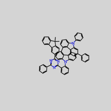 CC1(C)c2ccccc2-c2cc(-c3nc(-c4ccccc4)nc(-c4ccccc4-n4c5ccccc5c5c(-c6cccc7c6c6ccc(-c8ccccc8)cc6n7-c6ccccc6)cccc54)n3)ccc21